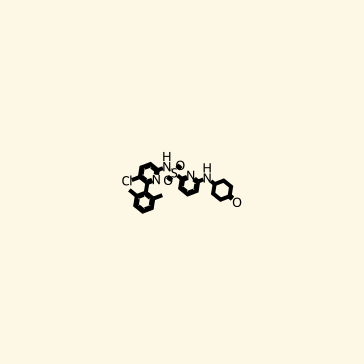 Cc1cccc(C)c1-c1nc(NS(=O)(=O)c2cccc(NC3CCC(=O)CC3)n2)ccc1Cl